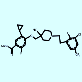 COC(=O)c1cc(C2CC2)c(OCC2(C#N)CCN(CCc3cc(C(F)(F)F)cc(Cl)c3F)CC2)cc1F